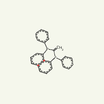 C=C(P(c1ccccc1)c1ccccc1)P(c1ccccc1)c1ccccc1